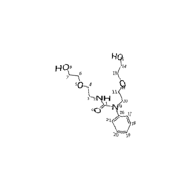 O=C(NCCOCCO)N(CCOCCO)c1[c]cccc1